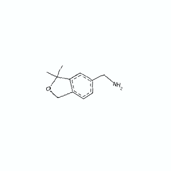 CC1(C)OCc2ccc(CN)cc21